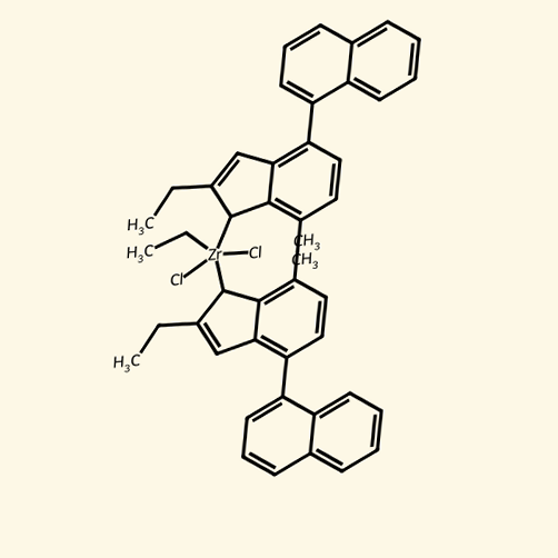 CCC1=Cc2c(-c3cccc4ccccc34)ccc(C)c2[CH]1[Zr]([Cl])([Cl])([CH2]C)[CH]1C(CC)=Cc2c(-c3cccc4ccccc34)ccc(C)c21